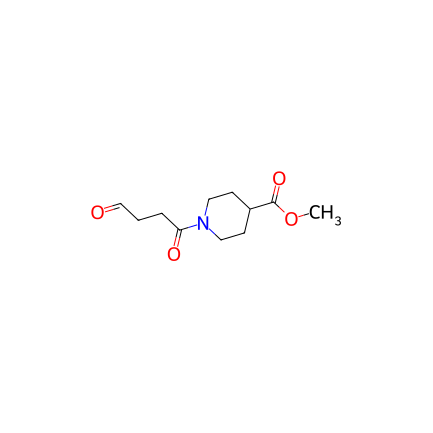 COC(=O)C1CCN(C(=O)CCC=O)CC1